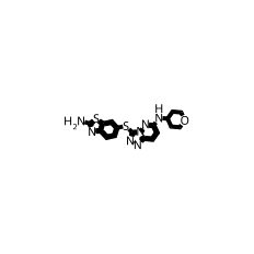 Nc1nc2ccc(Sc3nnc4ccc(NC5CCOCC5)nn34)cc2s1